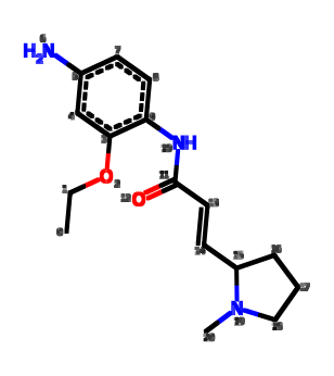 CCOc1cc(N)ccc1NC(=O)/C=C/C1CCCN1C